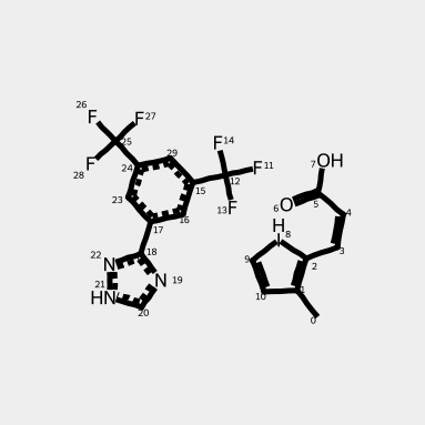 CC1=C(/C=C\C(=O)O)[IH]C=C1.FC(F)(F)c1cc(-c2nc[nH]n2)cc(C(F)(F)F)c1